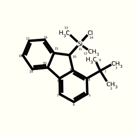 CC(C)(C)c1cccc2c1C([Si](C)(C)Cl)c1ccccc1-2